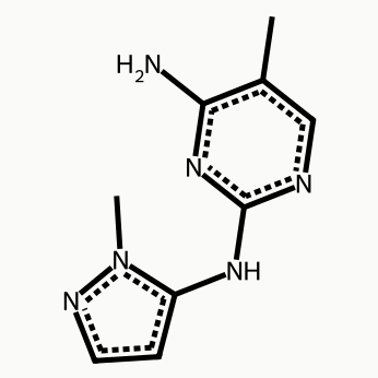 Cc1cnc(Nc2ccnn2C)nc1N